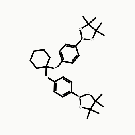 CC1(C)OB(c2ccc(OC3(Oc4ccc(B5OC(C)(C)C(C)(C)O5)cc4)CCCCC3)cc2)OC1(C)C